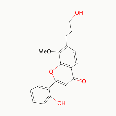 COc1c(CCCO)ccc2c(=O)cc(-c3ccccc3O)oc12